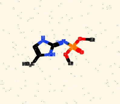 CCOP(=O)(/N=c1/[nH]cc(C(=O)O)[nH]1)OCC